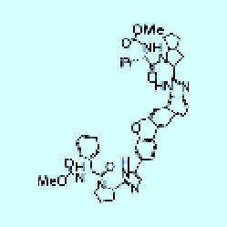 COC(=O)N[C@H](C(=O)N1C2CCCC2C[C@H]1c1nc2ccc3cc4c(cc3c2[nH]1)COc1cc(-c2cnc(C3CCCN3C(=O)[C@H](NC(=O)OC)c3ccccc3)[nH]2)ccc1-4)C(C)C